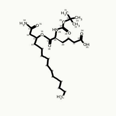 CCCCCCCCCCCC(CC(N)=O)OC(=O)[C@H](CCCC(=O)O)NC(=O)OC(C)(C)C